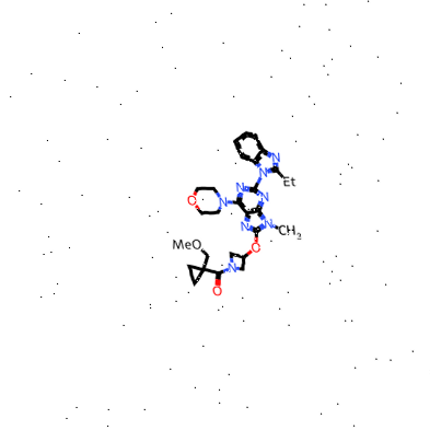 CCc1nc2ccccc2n1-c1nc(N2CCOCC2)c2nc(OC3CN(C(=O)C4(COC)CC4)C3)n(C)c2n1